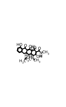 CCO[C@H]1[C@H]2[C@H](N(C)C)C(O)=C(C(=O)NC)C(=O)[C@@]2(O)C(O)=C2C(=O)c3c(O)cccc3C[C@H]21